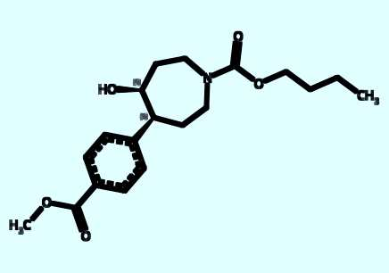 CCCCOC(=O)N1CC[C@H](O)[C@H](c2ccc(C(=O)OC)cc2)CC1